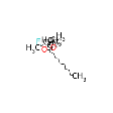 CCCCCCCCCC[Si](CC)(OC(C)C)OC(C)(C)F